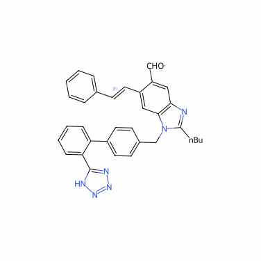 CCCCc1nc2cc([C]=O)c(/C=C/c3ccccc3)cc2n1Cc1ccc(-c2ccccc2-c2nnn[nH]2)cc1